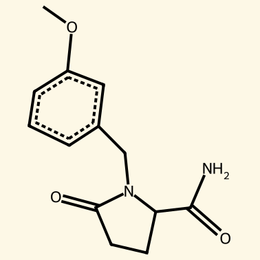 COc1cccc(CN2C(=O)CCC2C(N)=O)c1